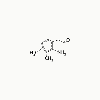 Cc1ccc(CC=O)c(N)c1C